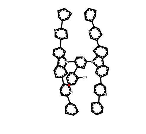 N#Cc1ccccc1-c1cc(-n2c3cc(-c4ccc(-c5ccccc5)nc4)ccc3c3ccc(-c4ccc(-c5ccccc5)nc4)cc32)ncc1-n1c2cc(-c3ccc(-c4ccccc4)nc3)ccc2c2ccc(-c3ccc(-c4ccccc4)nc3)cc21